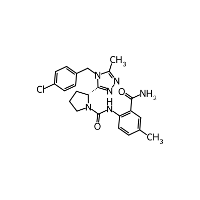 Cc1ccc(NC(=O)N2CCC[C@@H]2c2nnc(C)n2Cc2ccc(Cl)cc2)c(C(N)=O)c1